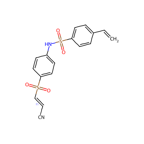 C=Cc1ccc(S(=O)(=O)Nc2ccc(S(=O)(=O)/C=C/C#N)cc2)cc1